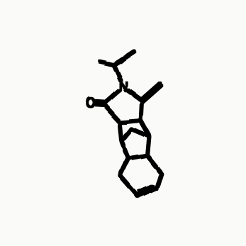 C=C1C2C3CC(C4CC=CCC43)C2C(=O)N1C(C)C